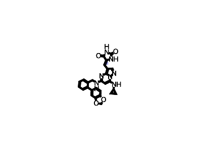 O=C1NC(=O)/C(=C/c2cnn3c(NC4CC4)cc(NCc4ccccc4-c4ccc5c(c4)OCO5)nc23)N1